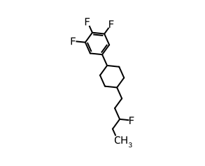 CCC(F)CCC1CCC(c2cc(F)c(F)c(F)c2)CC1